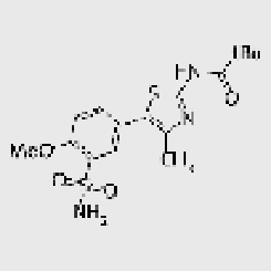 COc1ccc(-c2sc(NC(=O)C(C)(C)C)nc2C)cc1S(N)(=O)=O